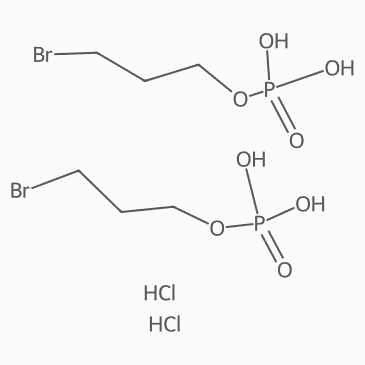 Cl.Cl.O=P(O)(O)OCCCBr.O=P(O)(O)OCCCBr